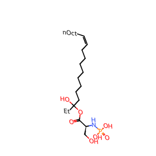 CCCCCCCC/C=C\CCCCCCCCC(O)(CC)OC(=O)[C@H](CO)NP(=O)(O)O